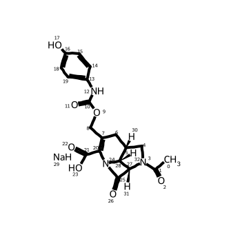 CC(=O)N1C[C@H]2CC(COC(=O)Nc3ccc(O)cc3)=C(C(=O)O)N3C(=O)[C@@H]1[C@@H]23.[NaH]